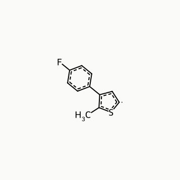 Cc1s[c]cc1-c1ccc(F)cc1